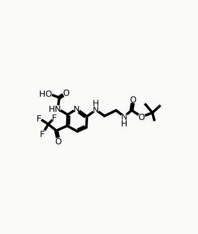 CC(C)(C)OC(=O)NCCNc1ccc(C(=O)C(F)(F)F)c(NC(=O)O)n1